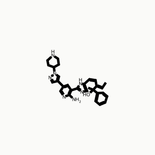 C/C=C(\C=C/c1cnc(-c2cc(-c3cnn(C4CCNCC4)c3)cnc2N)[nH]1)C(C)(O)c1ccccc1